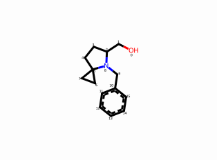 OCC1CCC2(CC2)N1Cc1ccccc1